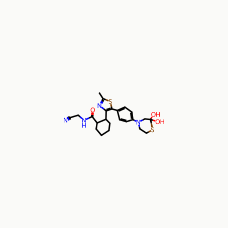 Cc1nc(C2CCCCC2C(=O)NCC#N)c(-c2ccc(N3CCSC(O)(O)C3)cc2)s1